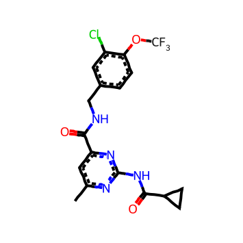 Cc1cc(C(=O)NCc2ccc(OC(F)(F)F)c(Cl)c2)nc(NC(=O)C2CC2)n1